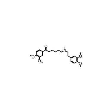 COc1ccc(CCN(C)CCCCCC(=O)c2ccc(OC)c(OC)c2)cc1OC